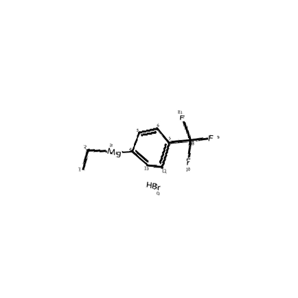 Br.C[CH2][Mg][c]1ccc(C(F)(F)F)cc1